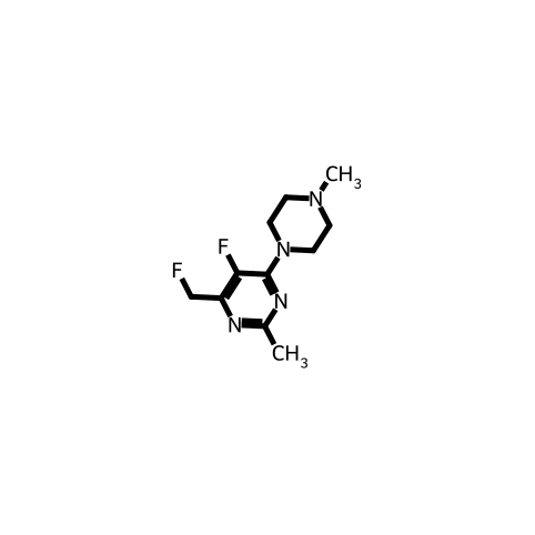 Cc1nc(CF)c(F)c(N2CCN(C)CC2)n1